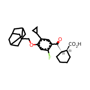 O=C(O)[C@H]1CCCC[C@@H]1C(=O)c1cc(C2CC2)c(OCC23CC4CC(CC(C4)C2)C3)cc1F